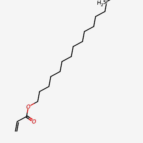 C=CC(=O)OCCCCCCCCCCCCC[SiH2]Cl